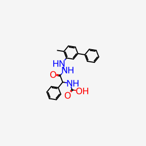 Cc1ccc(-c2ccccc2)cc1NNC(=O)C(NC(=O)O)c1ccccc1